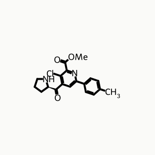 COC(=O)c1nc(-c2ccc(C)cc2)cc(C(=O)[C@H]2CCCN2)c1Cl